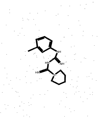 Cc1cccc(NC(=N)NC(=N)N2CCCCC2)c1